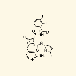 CC[C@@H](NC(=O)N1C(=O)[C@H](Cc2ccnc(N)c2)[C@H]1C(=O)N(C)c1ccn(C)n1)c1cccc(F)c1F